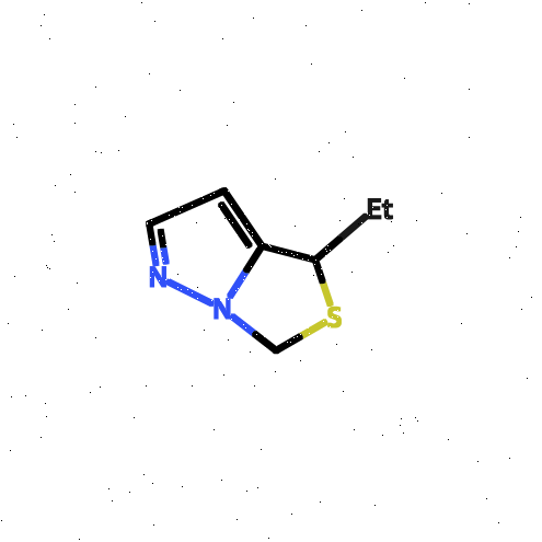 CCC1SCn2nccc21